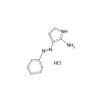 Cl.Nc1[nH]ccc1N=Nc1ccccc1